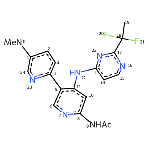 CNc1ccc(-c2cnc(NC(C)=O)cc2Nc2ccnc(C(C)(F)F)n2)nc1